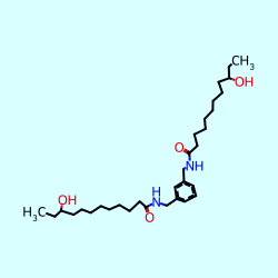 CCC(O)CCCCCCCCC(=O)NCc1cccc(CNC(=O)CCCCCCCCC(O)CC)c1